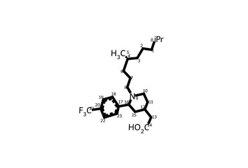 CC(C)CCC[C@H](C)CCCN1CCC(CC(=O)O)CC1c1ccc(C(F)(F)F)cc1